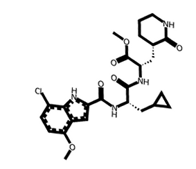 COC(=O)[C@H](C[C@@H]1CCCNC1=O)NC(=O)[C@H](CC1CC1)NC(=O)c1cc2c(OC)ccc(Cl)c2[nH]1